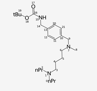 CCCN(CCC)CCCCN(C)Cc1ccc(CNC(=O)OC(C)(C)C)cc1